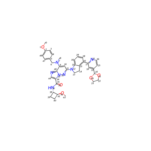 COc1ccc(CN(C)c2cc(N3CCc4c(-c5cc(C6OCCO6)ccn5)cccc43)nn3c(C(=O)N[C@H]4CC[C@@H]4OC)cnc23)cc1